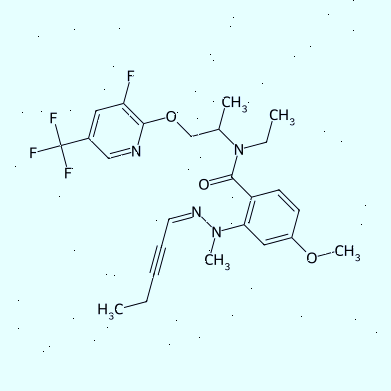 CCC#C/C=N\N(C)c1cc(OC)ccc1C(=O)N(CC)C(C)COc1ncc(C(F)(F)F)cc1F